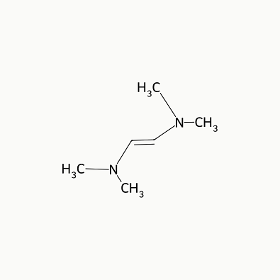 CN(C)C=CN(C)C